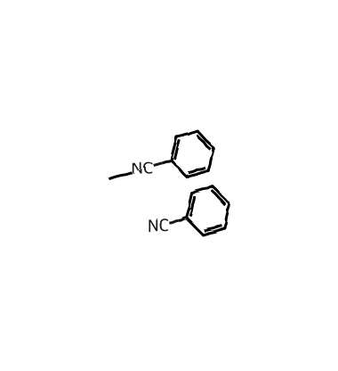 CC.N#Cc1ccccc1.N#Cc1ccccc1